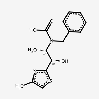 Cc1csc([C@@H](O)[C@H](C)N(Cc2ccccc2)C(=O)O)n1